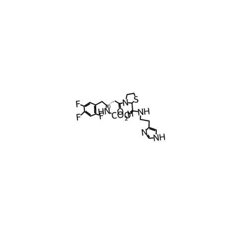 O=C(O)N[C@@H](CC(=O)N1CCSC1C(=O)NCCc1c[nH]cn1)Cc1cc(F)c(F)cc1F